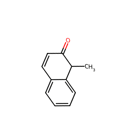 CC1C(=O)C=Cc2ccccc21